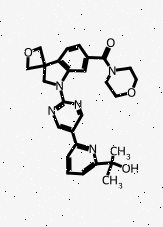 CC(C)(O)c1cccc(-c2cnc(N3CC4(COC4)c4ccc(C(=O)N5CCOCC5)cc43)nc2)n1